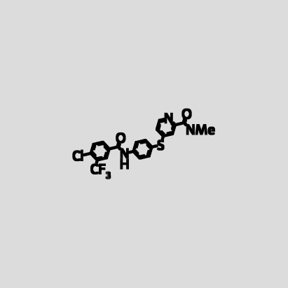 CNC(=O)c1cc(Sc2ccc(NC(=O)c3ccc(Cl)c(C(F)(F)F)c3)cc2)ccn1